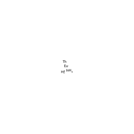 [Eu].[Hf].[InH3].[Th]